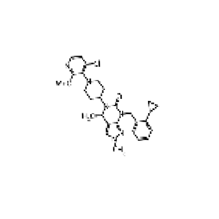 COc1nccc(Cl)c1N1CCC(N2C(=O)N(Cc3ccccc3C3CC3)c3nn(C)cc3[C@H]2C)CC1